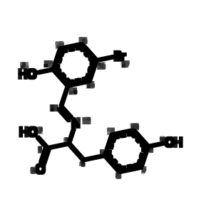 O=C(O)C(Cc1ccc(O)cc1)N=Cc1cc(Br)ccc1O